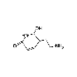 NCCC1C=CC(=O)NC1O